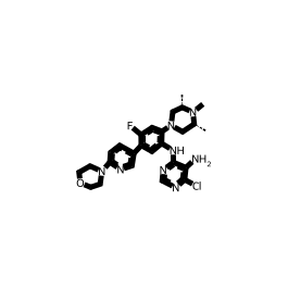 C[C@@H]1CN(c2cc(F)c(-c3ccc(N4CCOCC4)nc3)cc2Nc2ncnc(Cl)c2N)C[C@H](C)N1C